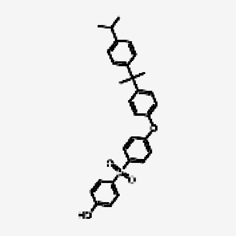 CC(C)c1ccc(C(C)(C)c2ccc(Oc3ccc(S(=O)(=O)c4ccc(O)cc4)cc3)cc2)cc1